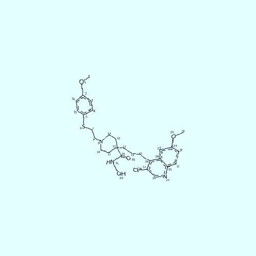 COc1ccc(SCCN2CCC(CCCc3c(Cl)cnc4ccc(OC)cc34)(C(=O)NO)CC2)cc1